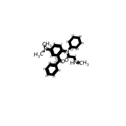 CNCC(=O)N(c1ccc(N(C)C)cc1C(=O)c1ccccc1)C1CCCCC1